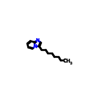 CCCCCCCCc1cnc2ccccn12